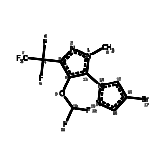 Cn1nc(C(F)(F)C(F)(F)F)c(OC(F)F)c1-n1cc(Br)cn1